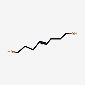 SCCC/C=C/CCCS